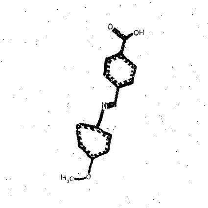 COc1ccc(N=Cc2ccc(C(=O)O)cc2)cc1